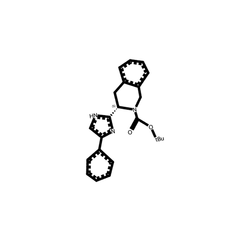 CC(C)(C)OC(=O)N1Cc2ccccc2C[C@H]1c1nc(-c2ccccc2)c[nH]1